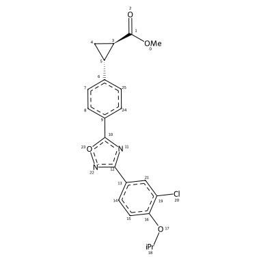 COC(=O)[C@@H]1C[C@H]1c1ccc(-c2nc(-c3ccc(OC(C)C)c(Cl)c3)no2)cc1